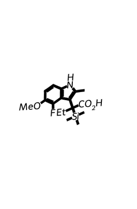 CCC(C(=O)O)(c1c(C)[nH]c2ccc(OC)c(F)c12)[Si](C)(C)C